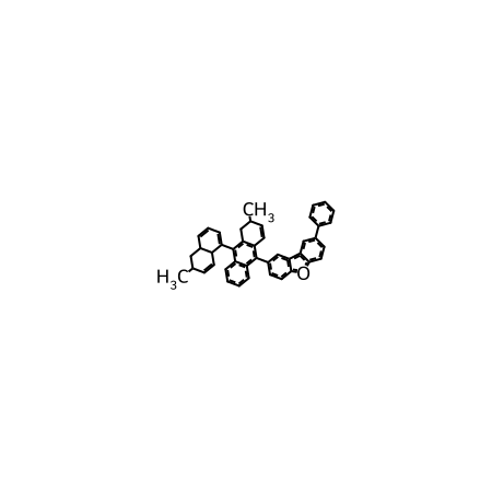 CC1C=Cc2c(c(C3=CC=CC4CC(C)C=CC34)c3ccccc3c2-c2ccc3oc4ccc(-c5ccccc5)cc4c3c2)C1